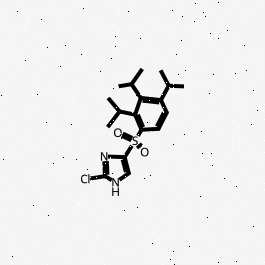 CC(C)c1ccc(S(=O)(=O)c2c[nH]c(Cl)n2)c(C(C)C)c1C(C)C